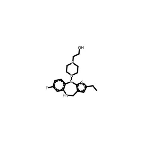 CCc1cc2c(s1)N(N1CCN(CCO)CC1)c1ccc(F)cc1NC2